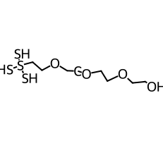 OCCOCCOCCOCCS(S)(S)S